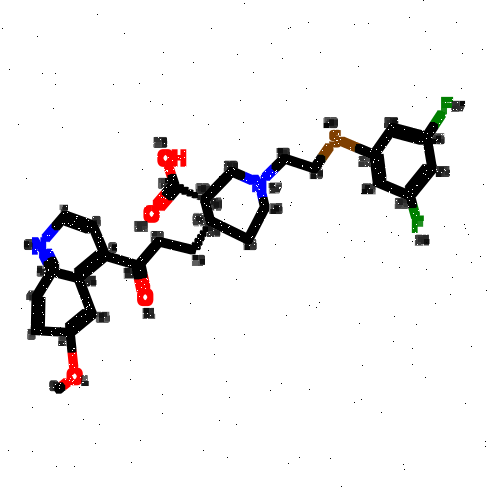 COc1ccc2nccc(C(=O)CC[C@H]3CCN(CCSc4cc(F)cc(F)c4)C[C@H]3C(=O)O)c2c1